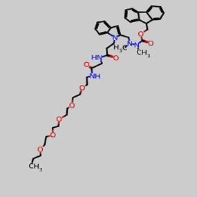 CCCOCCOCCOCCOCCOCCNC(=O)CNC(=O)CCn1c(CN(C)N(C)C(=O)OCC2c3ccccc3-c3ccccc32)cc2ccccc21